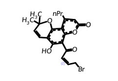 CCCc1cc(=O)oc2c(C(=O)/C=C\CBr)c(O)c3c(c12)OC(C)(C)C=C3